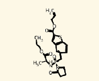 C=CCOC(=O)c1cc2cc(CP(=O)(N[C@@H](C)C(=O)OCCC)N3CCCC3=O)ccc2s1